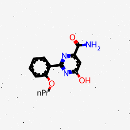 CCCOc1ccccc1-c1nc(O)cc(C(N)=O)n1